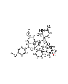 COc1ccc(COC(c2ccccc2)(c2ccc(OC)cc2)C2OC(n3ccc(=O)[nH]c3=O)C(O[Si](C)(C)C(C)(C)C)C2O[Si](C)(C)C(C)(C)C)cc1